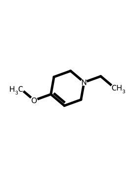 CCN1CC=C(OC)CC1